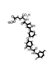 Cc1ccc(F)c(NC(=O)Nc2ccc(Oc3ccnc(-c4cc(C(=O)NC(CCC(=O)OC(C)(C)C)C(=O)O)c[nH]4)c3)cc2F)c1